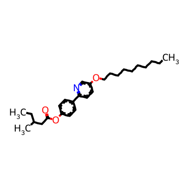 CCCCCCCCCCOc1ccc(-c2ccc(OC(=O)CC(C)CC)cc2)nc1